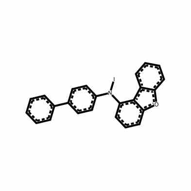 IN(c1ccc(-c2ccccc2)cc1)c1cccc2oc3ccccc3c12